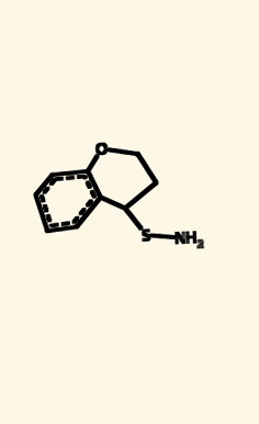 NSC1CCOc2ccccc21